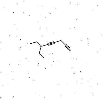 CCN(C#CCC#N)CC